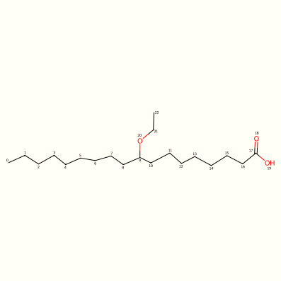 CCCCCCCCCC(CCCCCCCC(=O)O)OCC